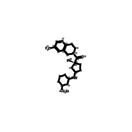 CCOC(=O)C1CCCC(NC2CC[C@@](C(=O)N3CCc4ncc(C(F)(F)F)cc4C3)(C(C)C)C2)C1